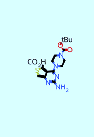 CC(C)(C)OC(=O)N1CCN(c2nc(N)nc3csc(C(=O)O)c23)CC1